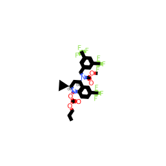 CCCOC(=O)ON1c2ccc(C(F)(F)F)cc2[C@@H](N(Cc2cc(C(F)(F)F)cc(C(F)(F)F)c2)C(=O)OC)C[C@H]1C1CC1